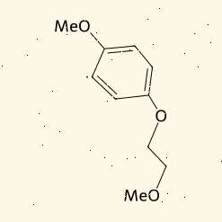 COCCOc1c[c]c(OC)cc1